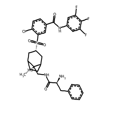 C[C@H]1CC2C[C@@H](S(=O)(=O)c3cc(C(=O)Nc4cc(F)c(F)c(F)c4)ccc3Cl)CC1[C@@]2(O)CNC(=O)[C@@H](N)Cc1ccccc1